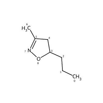 CCCC1CC(C)=NO1